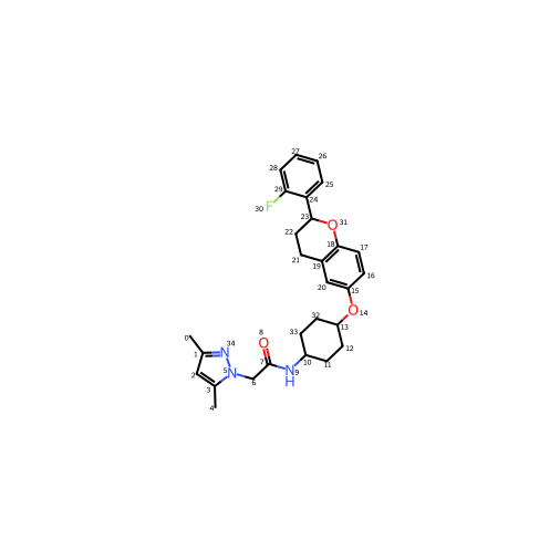 Cc1cc(C)n(CC(=O)NC2CCC(Oc3ccc4c(c3)CCC(c3ccccc3F)O4)CC2)n1